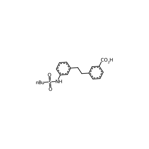 CCCCS(=O)(=O)Nc1cccc(CCc2cccc(C(=O)O)c2)c1